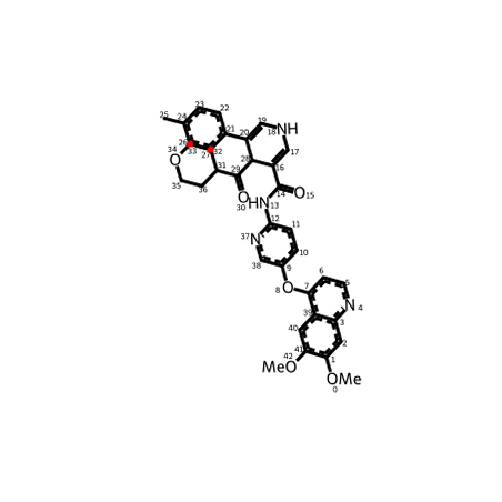 COc1cc2nccc(Oc3ccc(NC(=O)C4=CNC=C(c5ccc(C)cc5)C4C(=O)C4CCOCC4)nc3)c2cc1OC